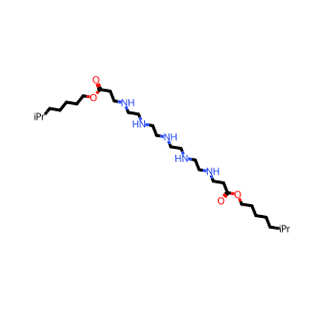 CC(C)CCCCCOC(=O)CCNCCNCCNCCNCCNCCC(=O)OCCCCCC(C)C